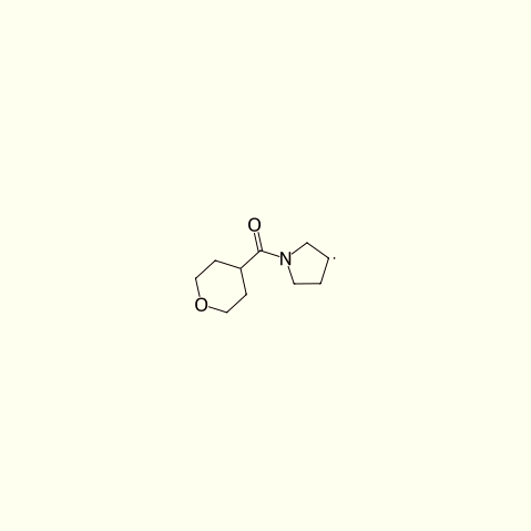 O=C(C1CCOCC1)N1C[CH]CC1